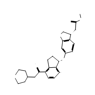 COC(=O)C[C@@H]1COc2cc(O[C@@H]3CCc4c(C(=O)CC5CCOCC5)cccc43)ccc21